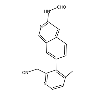 Cc1ccnc(CN=O)c1-c1ccc2cc(NC=O)ncc2c1